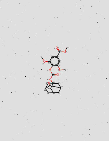 COC(=O)c1cc(OC)c(OC(=O)OC23CC4CC(C2)C(=O)C(C4)C3)c(OC)c1